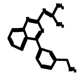 NCc1cccc(-c2nc(N=C(N)N)nc3ccccc23)c1